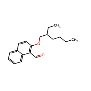 CCCCC(CC)COc1ccc2ccccc2c1C=O